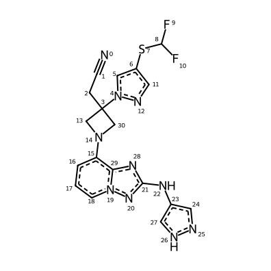 N#CCC1(n2cc(SC(F)F)cn2)CN(c2cccn3nc(Nc4cn[nH]c4)nc23)C1